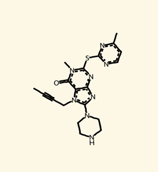 CC#CCn1c(N2CCNCC2)nc2nc(Sc3nccc(C)n3)n(C)c(=O)c21